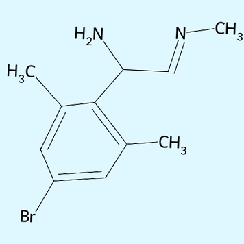 C/N=C/C(N)c1c(C)cc(Br)cc1C